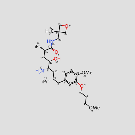 COCCCOc1cc(C[C@@H](C[C@H](N)[C@@H](O)C[C@H](C(=O)NCC2(C)COC2)C(C)C)C(C)C)ccc1OC